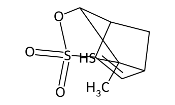 CC1(S)C2C=C3C(C2)C1OS3(=O)=O